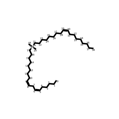 CCCCC/C=C\C/C=C\CCCCCCCC[N+](C)(C)CCCCCCCC/C=C\CCCCCCCC